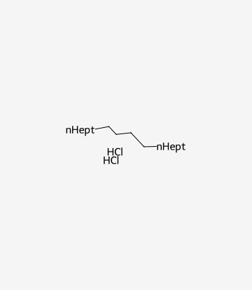 CCCCCCCCCCCCCCCCCC.Cl.Cl